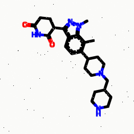 Cc1c(C2CCN(CC3CCNCC3)CC2)ccc2c(C3CCC(=O)NC3=O)nn(C)c12